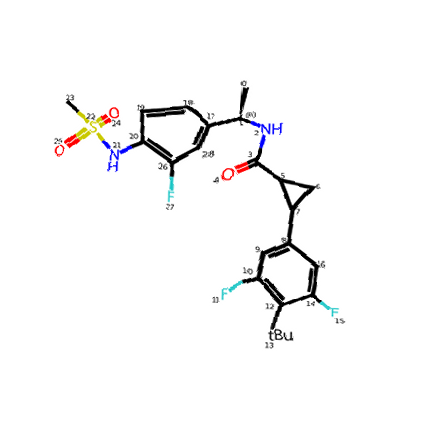 C[C@@H](NC(=O)C1CC1c1cc(F)c(C(C)(C)C)c(F)c1)c1ccc(NS(C)(=O)=O)c(F)c1